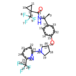 C[C@H](NC(=O)C1(C(F)(F)F)CC1)c1ccc(O[C@@H]2CCN(c3cccc(C(F)(F)F)n3)C2)cc1